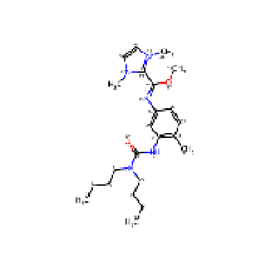 CCCCN(CCCC)C(=O)Nc1cc(/N=C(\OC)c2n(C)cc[n+]2C)ccc1C